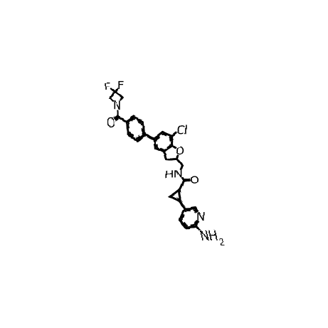 Nc1ccc(C2CC2C(=O)NCC2Cc3cc(-c4ccc(C(=O)N5CC(F)(F)C5)cc4)cc(Cl)c3O2)cn1